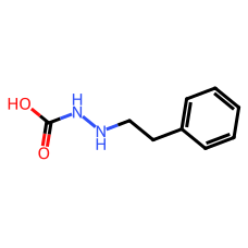 O=C(O)NNCCc1ccccc1